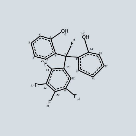 Oc1ccccc1C(F)(c1ccccc1O)c1cc(F)c(F)c(F)c1F